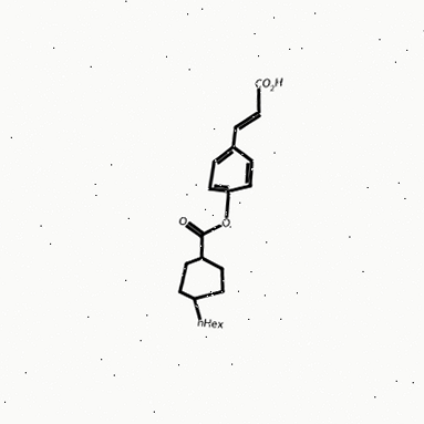 CCCCCCC1CCC(C(=O)Oc2ccc(/C=C/C(=O)O)cc2)CC1